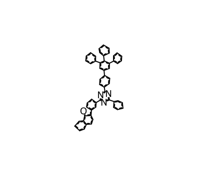 c1ccc(-c2nc(-c3ccc(-c4cc(-c5ccccc5)c(-c5ccccc5)c(-c5ccccc5)c4)cc3)nc(-c3ccc4oc5c6ccccc6ccc5c4c3)n2)cc1